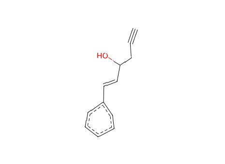 C#CCC(O)/C=C/c1ccccc1